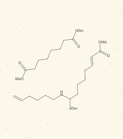 C=CCCCCNC(CCCCC=CC(=O)OC)CCCCCCCCCC.CCCCCCCCCCC(=O)CCCCCCC(=O)OC